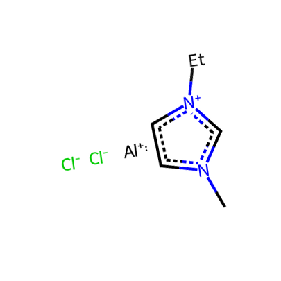 CC[n+]1ccn(C)c1.[Al+].[Cl-].[Cl-]